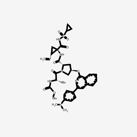 C=C[C@@H]1C[C@]1(NC(=O)[C@@H]1C[C@@H](Oc2nc(-c3ccc(N(C)C)cc3)cc3ccccc23)CN1C(=O)[C@@H](NC(=O)OC(C)(C)C)C(C)(C)C)C(=O)NS(=O)(=O)C1CC1